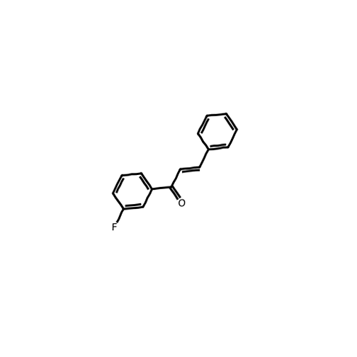 O=C(C=Cc1ccccc1)c1cccc(F)c1